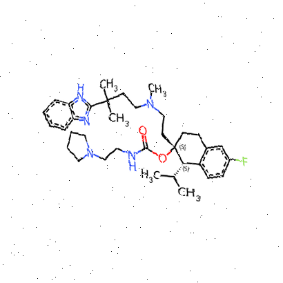 CC(C)[C@H]1c2ccc(F)cc2CC[C@@]1(CCN(C)CCC(C)(C)c1nc2ccccc2[nH]1)OC(=O)NCCN1CCCC1